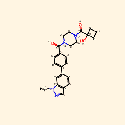 Cn1ncc2ccc(-c3ccc(C(=O)N4CCN(C(=O)C5(O)CCC5)CC4)cc3)cc21